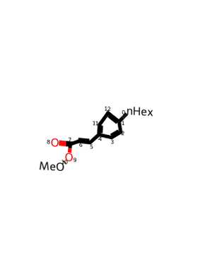 CCCCCCc1ccc(C=CC(=O)OOC)cc1